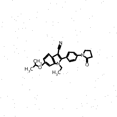 CCn1c(-c2ccc(N3CCCC3=O)cc2)c(C#N)c2ccc(OC(C)C)cc21